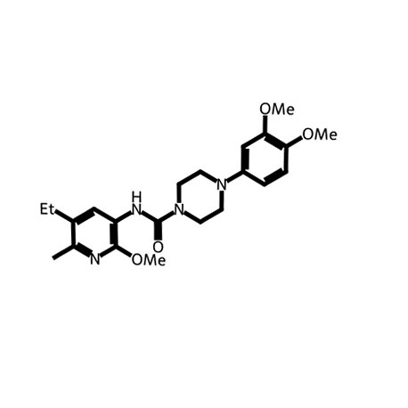 CCc1cc(NC(=O)N2CCN(c3ccc(OC)c(OC)c3)CC2)c(OC)nc1C